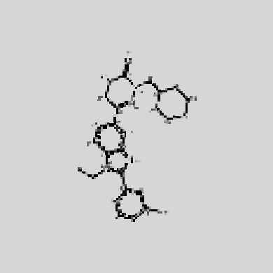 CCn1c(-c2cccc(F)c2)nc2cc(C3=NN(CC4CCCCC4)C(=O)SC3)ccc21